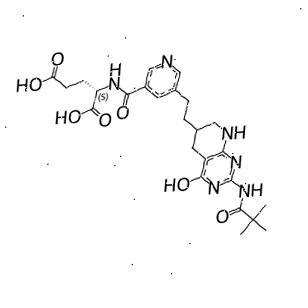 CC(C)(C)C(=O)Nc1nc(O)c2c(n1)NCC(CCc1cncc(C(=O)N[C@@H](CCC(=O)O)C(=O)O)c1)C2